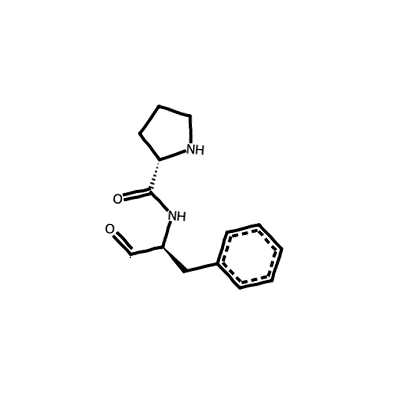 O=[C][C@H](Cc1ccccc1)NC(=O)[C@@H]1CCCN1